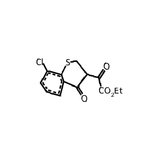 CCOC(=O)C(=O)C1CSc2c(Cl)cccc2C1=O